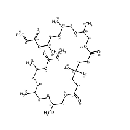 C=CC(=O)OC(C)COC(C)COC(C)COC(=O)CCC(CCC(=O)OCC(C)OCC(C)OCC(C)OC(=O)C=C)(C(C)=O)C(C)=O